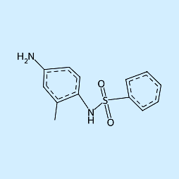 Cc1cc(N)ccc1NS(=O)(=O)c1ccccc1